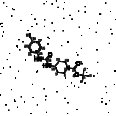 CC(C)(C)OC(=O)N1CCC(NC(=O)Nc2ccc(I)cc2)CC1